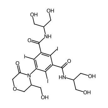 O=C(NC(CO)CO)c1c(I)c(C(=O)NC(CO)CO)c(I)c(N2C(=O)COCC2CO)c1I